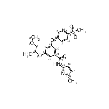 COCC(C)Oc1cc(Oc2ccc(S(C)(=O)=O)nc2)cc(C(=O)Nc2ccn(C)n2)c1